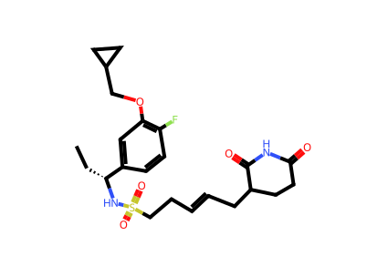 CC[C@@H](NS(=O)(=O)CC/C=C/CC1CCC(=O)NC1=O)c1ccc(F)c(OCC2CC2)c1